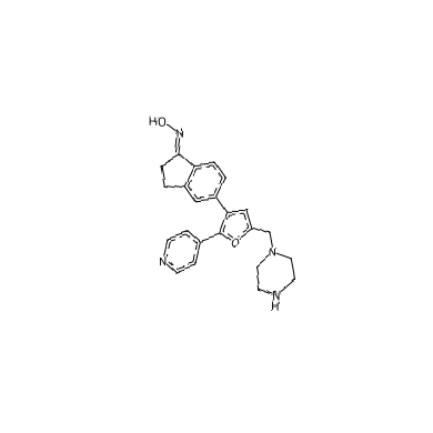 O/N=C1\CCc2cc(-c3cc(CN4CCNCC4)oc3-c3ccncc3)ccc21